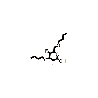 CCCCOCC1OC(O)[C@H](C)C(OCCCC)C1F